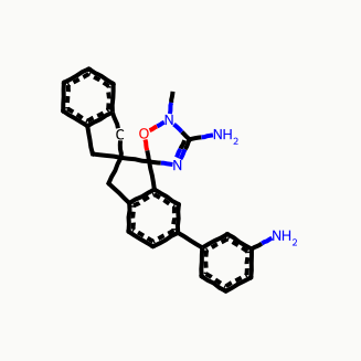 CN1OC2(N=C1N)c1cc(-c3cccc(N)c3)ccc1CC21Cc2ccccc2C1